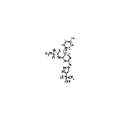 CC[C@](O)(c1cn(Cc2ccc3c(-c4ccc(F)cc4)cc(S(C)(=O)=O)nc3c2)nn1)C(F)(F)F